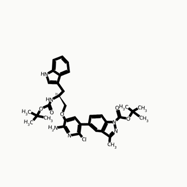 Cc1nn(C(=O)OC(C)(C)C)c2ccc(-c3cc(OC[C@H](Cc4c[nH]c5ccccc45)NC(=O)OC(C)(C)C)c(N)nc3Cl)cc12